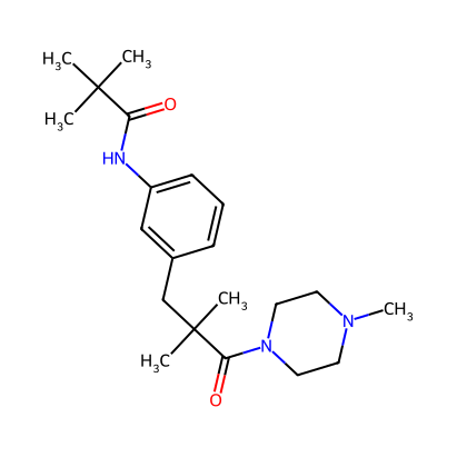 CN1CCN(C(=O)C(C)(C)Cc2cccc(NC(=O)C(C)(C)C)c2)CC1